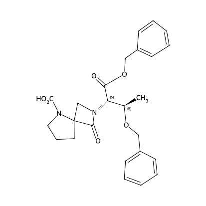 C[C@@H](OCc1ccccc1)[C@@H](C(=O)OCc1ccccc1)N1CC2(CCCN2C(=O)O)C1=O